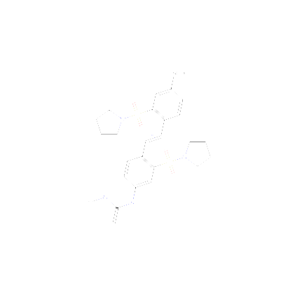 C=C(Nc1ccc(/C=C/c2ccc(NC(C)=O)cc2S(=O)(=O)N2CCCC2)c(S(=O)(=O)N2CCCC2)c1)NC(C)C